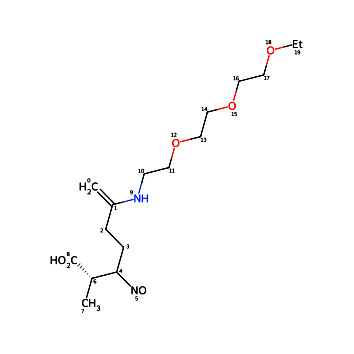 C=C(CCC(N=O)[C@H](C)C(=O)O)NCCOCCOCCOCC